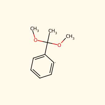 COC(C)(OC)c1[c]cccc1